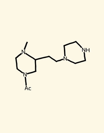 CC(=O)N1CCN(C)C(CCN2CCNCC2)C1